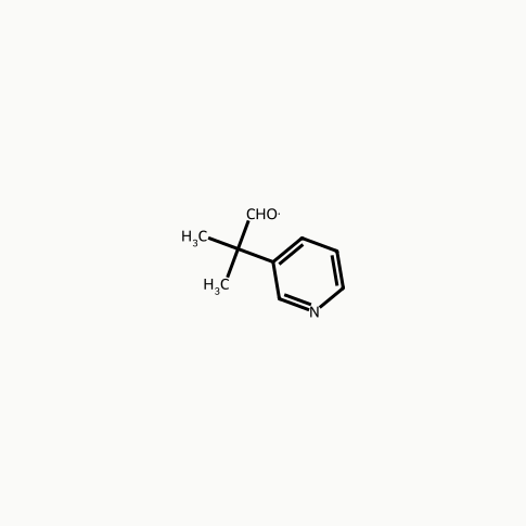 CC(C)([C]=O)c1cccnc1